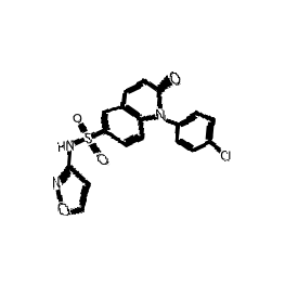 O=c1ccc2cc(S(=O)(=O)Nc3ccon3)ccc2n1-c1ccc(Cl)cc1